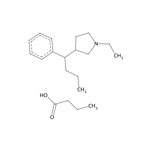 CCCC(=O)O.CCCC(c1ccccc1)C1CCN(CC)C1